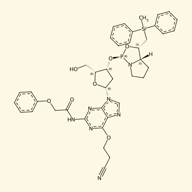 C[Si](C[C@H]1O[P@](O[C@@H]2C[C@H](n3cnc4c(OCCC#N)nc(NC(=O)COc5ccccc5)nc43)O[C@@H]2CO)N2CCC[C@@H]12)(c1ccccc1)c1ccccc1